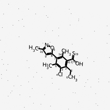 CCc1c(Cl)c(C)c(-c2cc(C)no2)c(C)c1C(O)=S